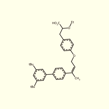 CCOC(Cc1ccc(OC/C=C(/C)c2ccc(-c3cc(C(C)(C)C)cc(C(C)(C)C)c3)cc2)cc1)C(=O)O